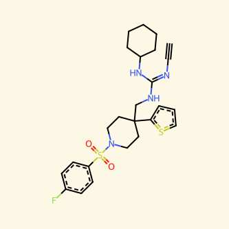 C#C/N=C(/NCC1(c2cccs2)CCN(S(=O)(=O)c2ccc(F)cc2)CC1)NC1CCCCC1